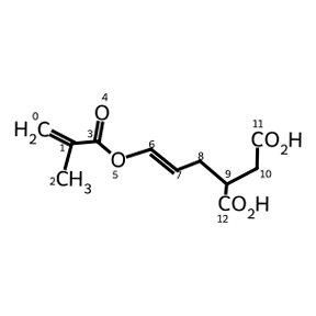 C=C(C)C(=O)OC=CCC(CC(=O)O)C(=O)O